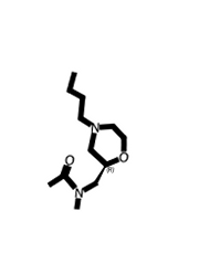 CCCCN1CCO[C@@H](CN(C)C(C)=O)C1